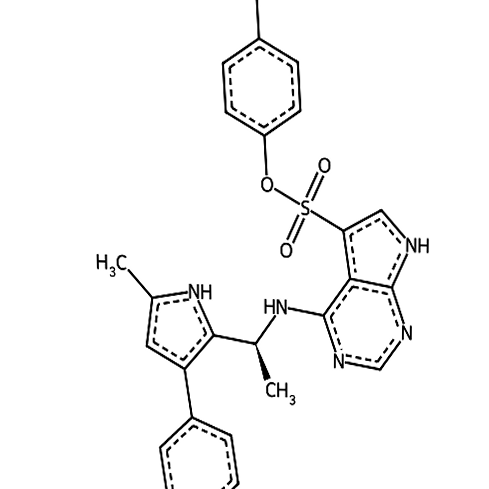 Cc1cc(-c2ccccc2)c([C@H](C)Nc2ncnc3[nH]cc(S(=O)(=O)Oc4ccc(O)cc4)c23)[nH]1